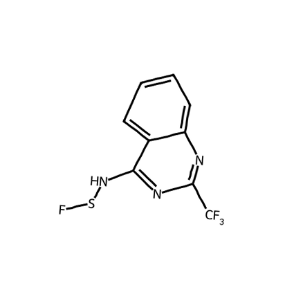 FSNc1nc(C(F)(F)F)nc2ccccc12